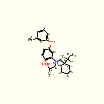 CC(C)c1cccc(Oc2cccc(N(CC(O)C(F)(F)F)CC3(C(F)(F)C(F)(F)F)CCCCC3)c2)c1